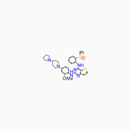 COc1cc(N2CCC(N3CCCC3)CC2)ccc1Nc1nc(Nc2ccccc2[S+]([O-])C(C)C)c2sccc2n1